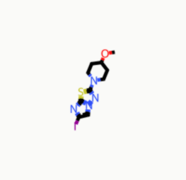 COC1CCN(c2nn3cc(I)nc3s2)CC1